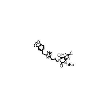 CCCCn1c(=O)n(CCCc2nc(Cc3ccc4c(c3)OCO4)no2)c(=O)c2[nH]c(Cl)nc21